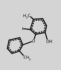 Cc1ccccc1Oc1c(O)ccc(C)c1I